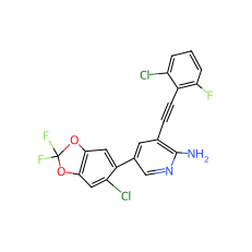 Nc1ncc(-c2cc3c(cc2Cl)OC(F)(F)O3)cc1C#Cc1c(F)cccc1Cl